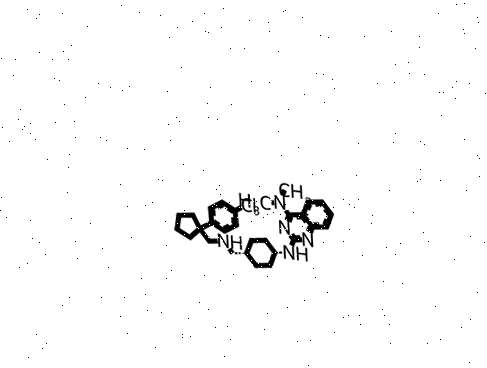 CN(C)c1nc(N[C@H]2CC[C@@H](CNCC3(c4ccc(Cl)cc4)CCCC3)CC2)nc2ccccc12